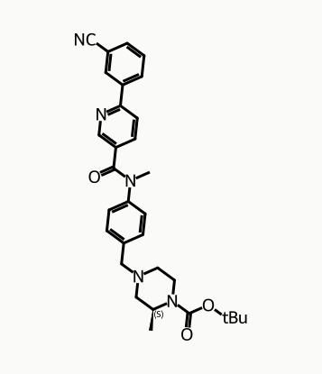 C[C@H]1CN(Cc2ccc(N(C)C(=O)c3ccc(-c4cccc(C#N)c4)nc3)cc2)CCN1C(=O)OC(C)(C)C